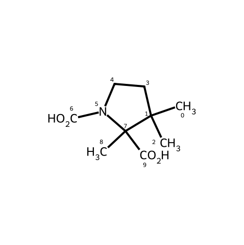 CC1(C)CCN(C(=O)O)C1(C)C(=O)O